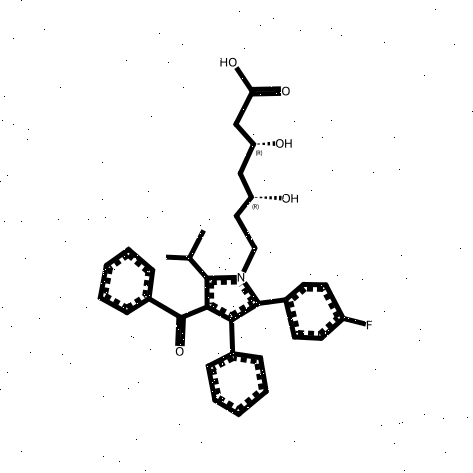 CC(C)c1c(C(=O)c2ccccc2)c(-c2ccccc2)c(-c2ccc(F)cc2)n1CC[C@@H](O)C[C@@H](O)CC(=O)O